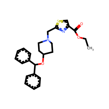 CCOC(=O)c1csc(CN2CCC(OC(c3ccccc3)c3ccccc3)CC2)n1